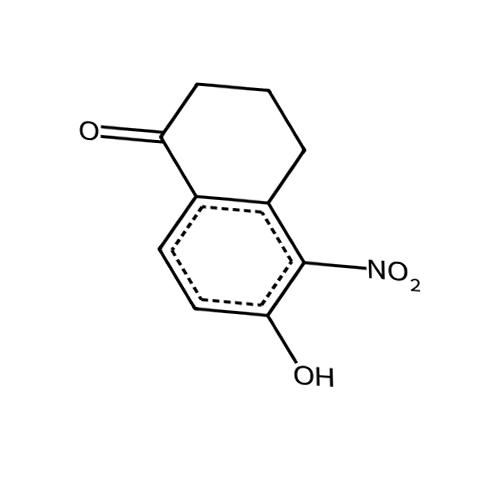 O=C1CCCc2c1ccc(O)c2[N+](=O)[O-]